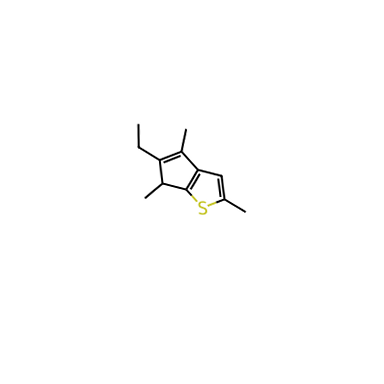 CCC1=C(C)c2cc(C)sc2C1C